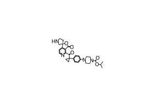 CC(C)OC(=O)N1CCN(c2ccc(C3(C(=O)c4nccc5c4C(=O)O[C@]54CCNC4)CC3)cc2)CC1